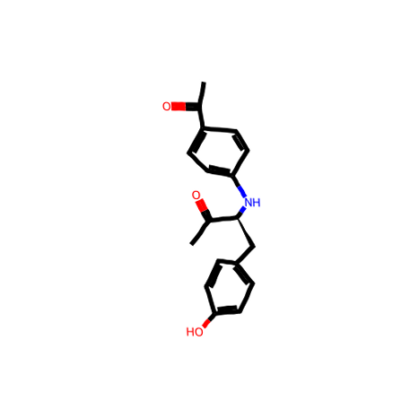 CC(=O)c1ccc(N[C@@H](Cc2ccc(O)cc2)C(C)=O)cc1